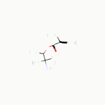 C=C(C)C(=O)OC(C)C(C)(C)N